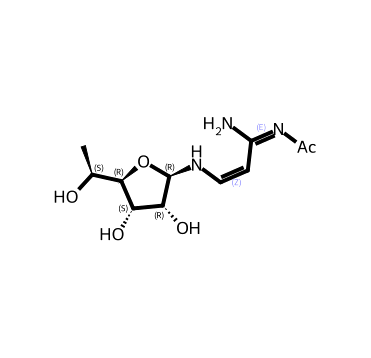 CC(=O)/N=C(N)\C=C/N[C@@H]1O[C@H]([C@H](C)O)[C@@H](O)[C@H]1O